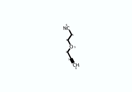 C#CCOCCC#N